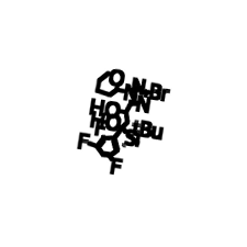 CC(C)(C)[Si](C)(C)C(O)(CC(O)c1nc(Br)nn1C1CCCCO1)c1cc(F)cc(F)c1F